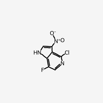 O=[N+]([O-])c1c[nH]c2c(F)cnc(Cl)c12